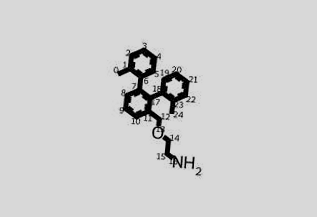 Cc1ccccc1-c1cccc(COCCN)c1-c1ccccc1C